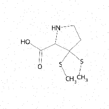 CSC1(SC)CCNC1C(=O)O